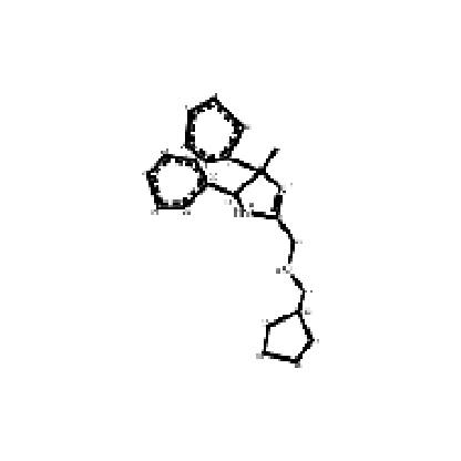 CC1(c2ccccc2)N=C(COCC2CCCC2)NC1c1ccccc1